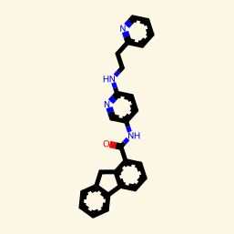 O=C(Nc1ccc(NCCc2ccccn2)nc1)c1cccc2c1Cc1ccccc1-2